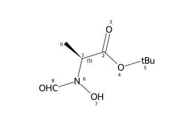 C[C@@H](C(=O)OC(C)(C)C)N(O)C=O